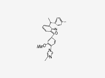 COc1cc(-c2onc3c(C(C)c4ccc(C)cc4)cccc23)ccc1-n1cnc(C)c1